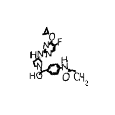 C=CC(=O)Nc1ccc(C(O)N2CC[C@@H](Nc3ncc(F)c(OC4CC4)n3)C2)cc1